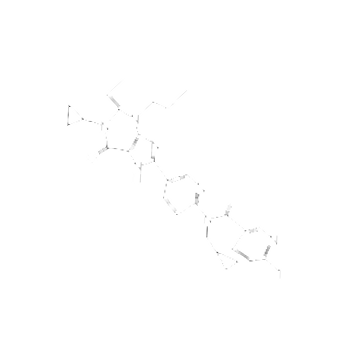 CC=C1N(CCC)c2nc(-c3ccc(N(CC4CC4)C(=O)c4ccc(F)nc4)nc3)[nH]c2C(=O)N1C1CC1